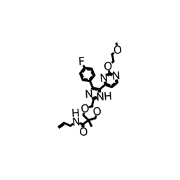 C=CCNC(=O)C1(C)COC(c2nc(-c3ccc(F)cc3)c(-c3ccnc(OCCOC)n3)[nH]2)OC1